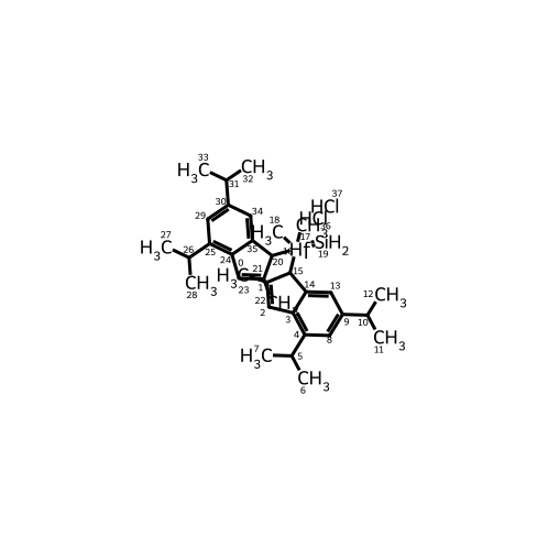 CC1=Cc2c(C(C)C)cc(C(C)C)cc2[CH]1[Hf]([CH3])([CH3])(=[SiH2])[CH]1C(C)=Cc2c(C(C)C)cc(C(C)C)cc21.Cl.Cl